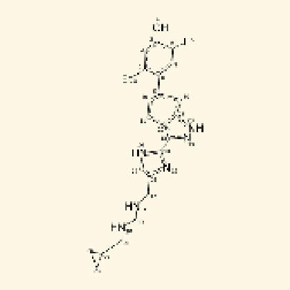 CCc1cc(O)c(F)cc1-c1ccc2c(-c3nc(CNCNCC4CC4)c[nH]3)n[nH]c2c1